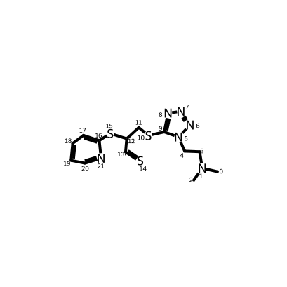 CN(C)CCn1nnnc1SCC([C]=S)Sc1ccccn1